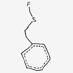 FSCc1ccccc1